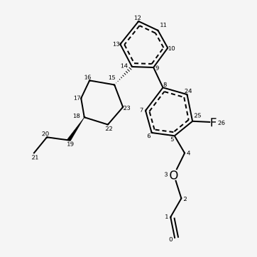 C=CCOCc1ccc(-c2ccccc2[C@H]2CC[C@H](CCC)CC2)cc1F